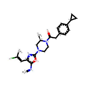 C=Nc1oc(N2CCN(C(=O)Cc3ccc(C4CC4)cc3)[C@H](C)C2)nc1/C=C(\C)F